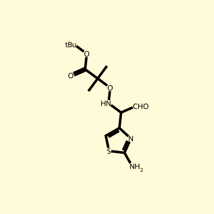 CC(C)(C)OC(=O)C(C)(C)ON[C](C=O)c1csc(N)n1